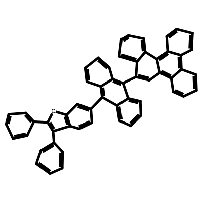 c1ccc(-c2oc3cc(-c4c5ccccc5c(-c5cc6c7ccccc7c7ccccc7c6c6ccccc56)c5ccccc45)ccc3c2-c2ccccc2)cc1